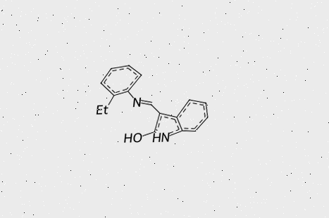 CCc1ccccc1N=Cc1c(O)[nH]c2ccccc12